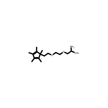 CC(=O)OC(N)COCCOCCC1(C)C(C)=C(C)C(C)=C1C